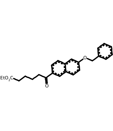 CCOC(=O)CCCCC(=O)c1ccc2cc(OCc3ccccc3)ccc2c1